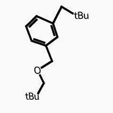 CC(C)(C)COCc1cccc(CC(C)(C)C)c1